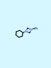 CC(C)N1CN(C2CCCCC2)C1